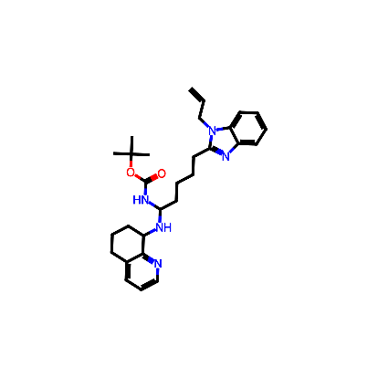 C=CCn1c(CCCCC(NC(=O)OC(C)(C)C)NC2CCCc3cccnc32)nc2ccccc21